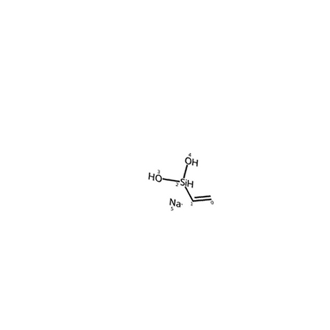 C=C[SiH](O)O.[Na]